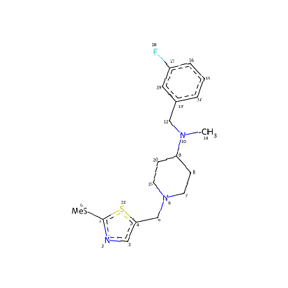 CSc1ncc(CN2CCC(N(C)Cc3cccc(F)c3)CC2)s1